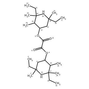 CCC1(C)CC(OC(=O)C(=O)OC2CC(C)(CC)NC(C)(CC)C2C)C(C)C(C)(CC)N1